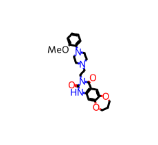 COc1ccccc1N1CCN(CCn2c(=O)[nH]c3cc4c(cc3c2=O)OCCCO4)CC1